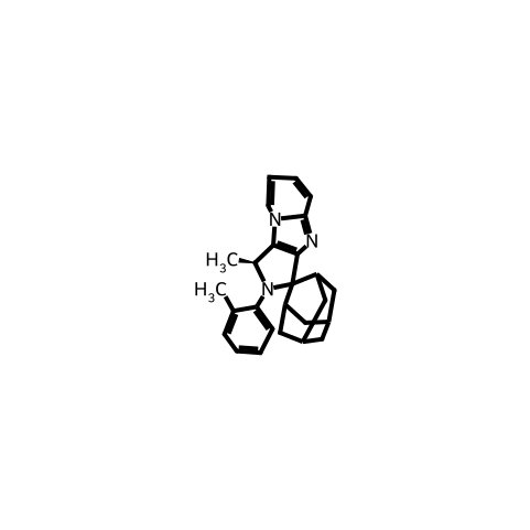 Cc1ccccc1N1[C@@H](C)c2c(nc3ccccn23)C12C1CC3CC(C1)CC2C3